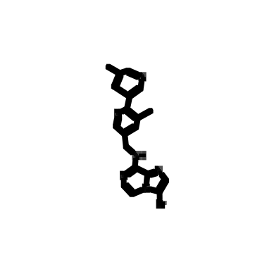 Cc1cncc(-c2ncc(CNc3nccn4c(Br)cnc34)cc2C)c1